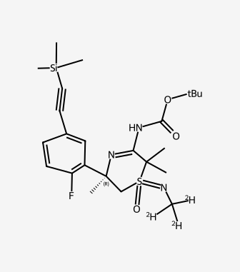 [2H]C([2H])([2H])N=S1(=O)C[C@@](C)(c2cc(C#C[Si](C)(C)C)ccc2F)N=C(NC(=O)OC(C)(C)C)C1(C)C